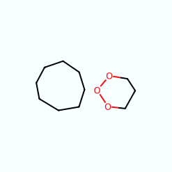 C1CCCCCCC1.C1COOOC1